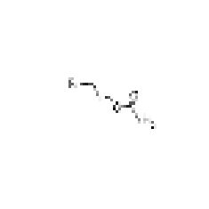 NC(=O)OCCCBr